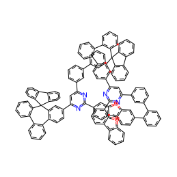 c1ccc(-c2cccc(-c3cc(-c4ccc5c(c4)C4(c6ccccc6-c6ccccc6-5)c5ccccc5-c5ccccc54)nc(-c4ccc5c(c4)oc4cc(-c6ccccc6-c6cccc(-c7cc(-c8ccc9c(c8)C8(c%10ccccc%10-c%10ccccc%10-9)c9ccccc9-c9ccccc98)nc(-c8cccc9c8oc8ccccc89)n7)c6)ccc45)n3)c2)cc1